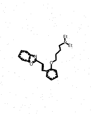 CCN(CC)CCCCOc1ccccc1C=Cc1nc2ccccc2o1